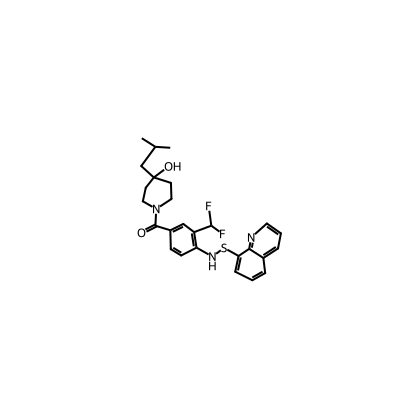 CC(C)CC1(O)CCN(C(=O)c2ccc(NSc3cccc4cccnc34)c(C(F)F)c2)CC1